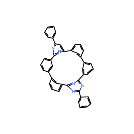 c1ccc(-c2cc3nc(n2)c2cccc(c2)c2cccc(c2)c2nc(-c4ccccc4)nc(n2)c2cccc(c2)c2cccc3c2)cc1